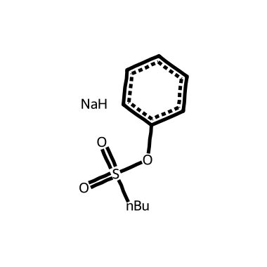 CCCCS(=O)(=O)Oc1ccccc1.[NaH]